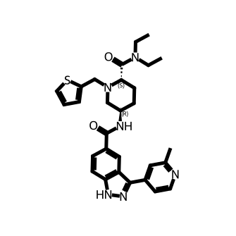 CCN(CC)C(=O)[C@@H]1CC[C@@H](NC(=O)c2ccc3[nH]nc(-c4ccnc(C)c4)c3c2)CN1Cc1cccs1